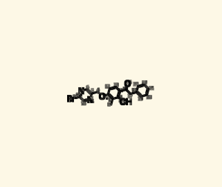 Cc1c(OCc2cnc(Br)cn2)ccc(C(=O)Cc2ccccc2)c1O